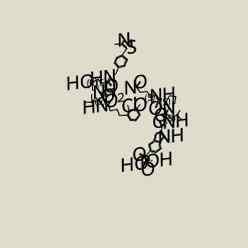 Cc1ncsc1-c1ccc(CNC(=O)[C@@H]2C[C@@H](O)CN2C(=O)[C@@H](NC(=O)CCCc2cccc(OC[C@H](CCC(N)=O)NC(=O)[C@@H]3CCCN3C(=O)[C@@H](NC(=O)c3cc4cc(C(=O)P(=O)(O)O)ccc4[nH]3)C(C)C)c2Cl)C(C)(C)C)cc1